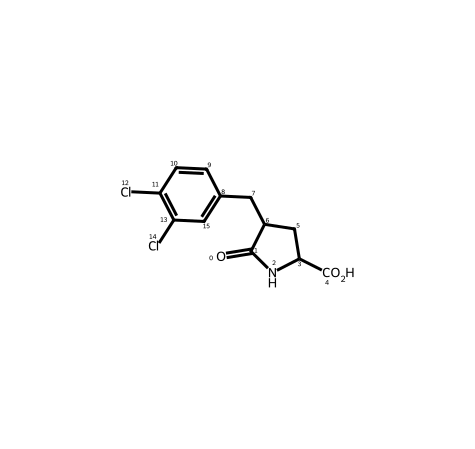 O=C1NC(C(=O)O)CC1Cc1ccc(Cl)c(Cl)c1